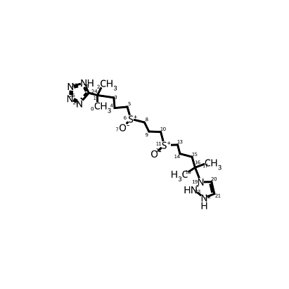 CC(C)(CCC[S+]([O-])CCC[S+]([O-])CCCC(C)(C)N1C=CNN1)c1nnn[nH]1